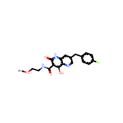 CC(C)OCCNC(=O)c1c(O)c2ncc(Cc3ccc(F)cc3)cc2[nH]c1=O